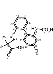 O=C(O)C(F)(F)F.O=C(O)Nc1cc(Cl)ccc1-c1ccccc1F